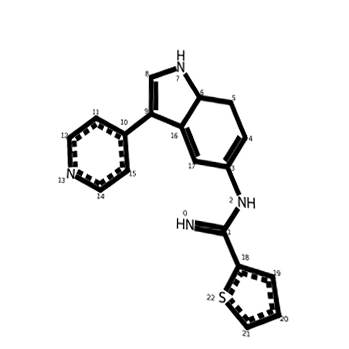 N=C(NC1=CCC2NC=C(c3ccncc3)C2=C1)c1cccs1